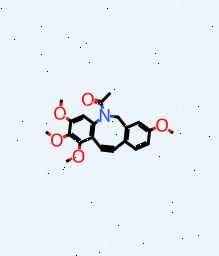 COc1ccc2c(c1)CN(C(C)=O)c1cc(OC)c(OC)c(OC)c1C#C2